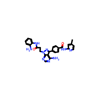 Cc1ccnc(NC(=O)c2ccc(-c3nn(CCC(=O)Nc4ccccc4N)c4ncnc(N)c34)cc2)c1